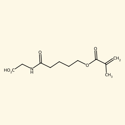 C=C(C)C(=O)OCCCCC(=O)NCC(=O)O